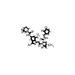 CC(=O)c1nn(CC(=O)N2[C@H](C(=O)NCc3cccc(Cl)c3F)C[C@@]3(C)C[C@@H]23)c2c(C)cc(NC(=O)N3CCCC(F)(F)C3)cc12